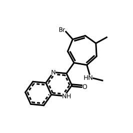 CNC1=CC(C)C=C(Br)C=C1c1nc2ccccc2[nH]c1=O